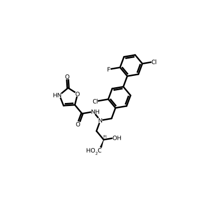 O=C(NN(Cc1ccc(-c2cc(Cl)ccc2F)cc1Cl)C[C@@H](O)C(=O)O)c1c[nH]c(=O)o1